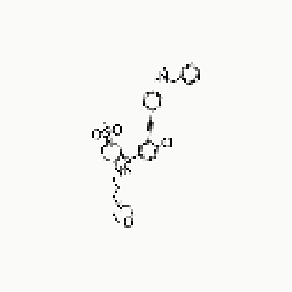 CN(Cc1ccccc1)Cc1ccc(C#Cc2cc(-c3nn(CCCN4CCOCC4)c4c3CN(S(C)(=O)=O)CC4)ccc2Cl)cc1